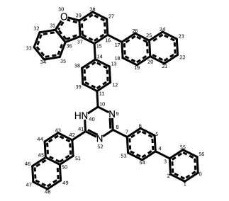 c1ccc(-c2ccc(C3=NC(c4ccc(-c5c(-c6ccc7ccccc7c6)ccc6oc7ccccc7c56)cc4)NC(c4ccc5ccccc5c4)=N3)cc2)cc1